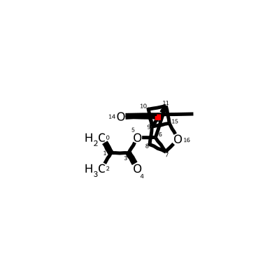 C=C(C)C(=O)OC1C2CC34CC1(OC3=O)C4O2